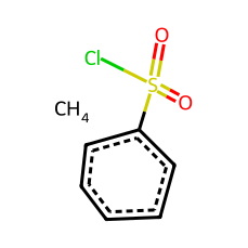 C.O=S(=O)(Cl)c1ccccc1